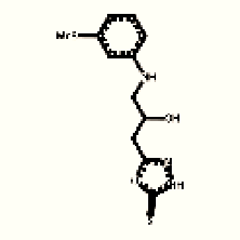 CSc1cccc(NCC(O)Cc2n[nH]c(=S)o2)c1